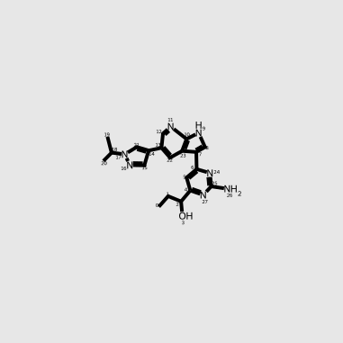 CCC(O)c1cc(-c2c[nH]c3ncc(-c4cnn(C(C)C)c4)cc23)nc(N)n1